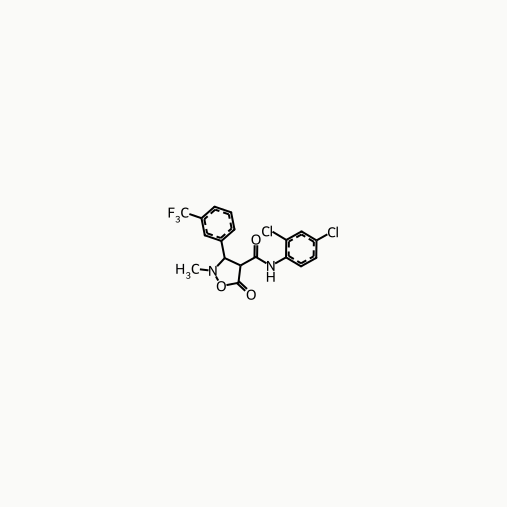 CN1OC(=O)C(C(=O)Nc2ccc(Cl)cc2Cl)C1c1cccc(C(F)(F)F)c1